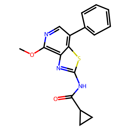 COc1ncc(-c2ccccc2)c2sc(NC(=O)C3CC3)nc12